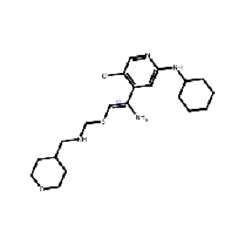 N/C(=C\SCNCC1CCOCC1)c1cc(NC2CCCCC2)ncc1Cl